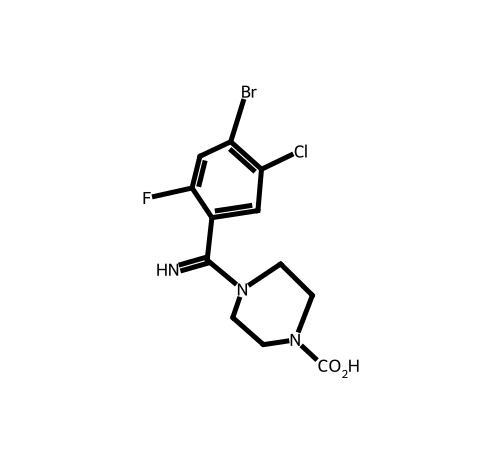 N=C(c1cc(Cl)c(Br)cc1F)N1CCN(C(=O)O)CC1